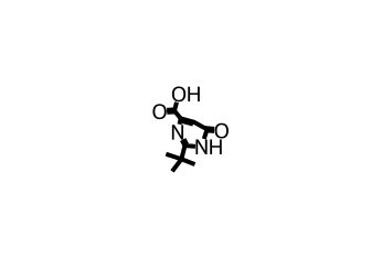 CC(C)(C)c1nc(C(=O)O)cc(=O)[nH]1